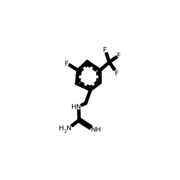 N=C(N)NCc1cc(F)cc(C(F)(F)F)c1